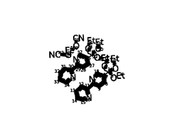 CCO[Si](OCC)(OCC)c1ccc(-c2ccccn2)nc1.CCO[Si](OCC)(OCC)c1ccc(-c2ccccn2)nc1.N#C[O][Fe][O]C#N